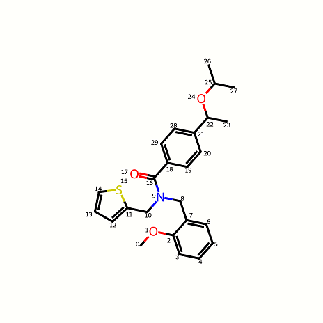 COc1ccccc1CN(Cc1cccs1)C(=O)c1ccc(C(C)OC(C)C)cc1